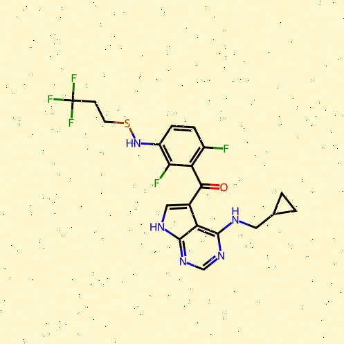 O=C(c1c(F)ccc(NSCCC(F)(F)F)c1F)c1c[nH]c2ncnc(NCC3CC3)c12